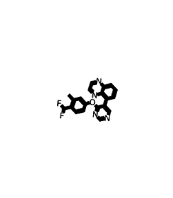 Cc1cc(Oc2ncncc2-c2cccc3nccnc23)ccc1C(F)F